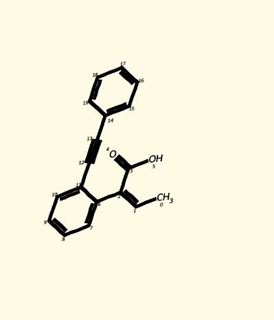 CC=C(C(=O)O)c1ccccc1C#Cc1ccccc1